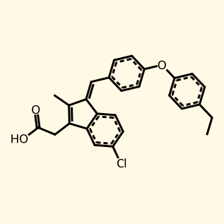 CCc1ccc(Oc2ccc(/C=C3/C(C)=C(CC(=O)O)c4cc(Cl)ccc43)cc2)cc1